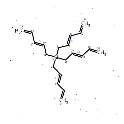 C=C/C=C/C[Si](C/C=C/C=C)(C/C=C/C=C)C/C=C/C=C